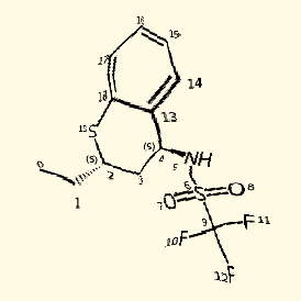 CC[C@H]1C[C@H](NS(=O)(=O)C(F)(F)F)c2ccccc2S1